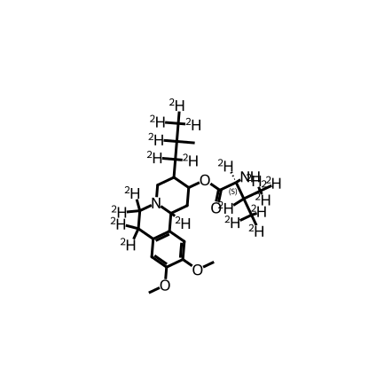 [2H]C12CC(OC(=O)[C@@]([2H])(N)C([2H])(C([2H])([2H])[2H])C([2H])([2H])[2H])C(C([2H])([2H])C([2H])(C)C([2H])([2H])[2H])CN1C([2H])([2H])C([2H])([2H])c1cc(OC)c(OC)cc12